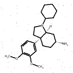 COc1ccc([C@@]23CC[C@@H](N)C[C@@H]2N(C2CCCCC2)CC3)cc1OC